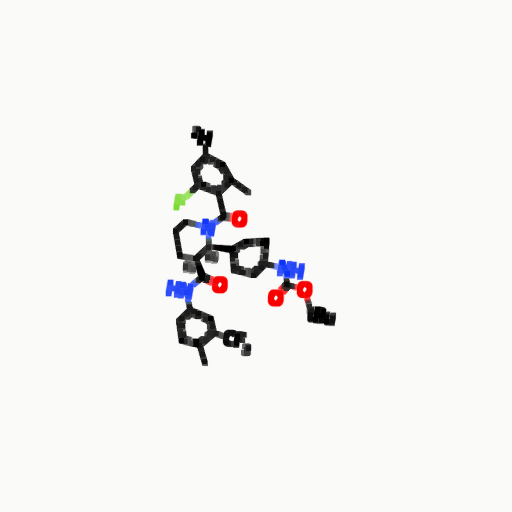 [2H]c1cc(C)c(C(=O)N2CCC[C@H](C(=O)Nc3ccc(C)c(C(F)(F)F)c3)[C@@H]2c2ccc(NC(=O)OC(C)(C)C)cc2)c(F)c1